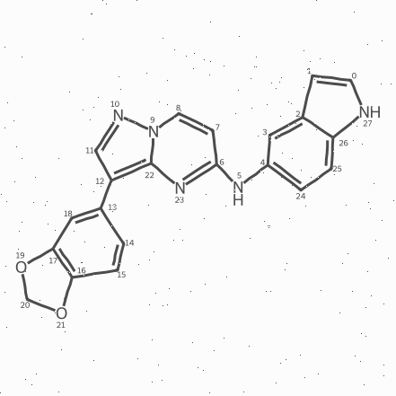 c1cc2cc(Nc3ccn4ncc(-c5ccc6c(c5)OCO6)c4n3)ccc2[nH]1